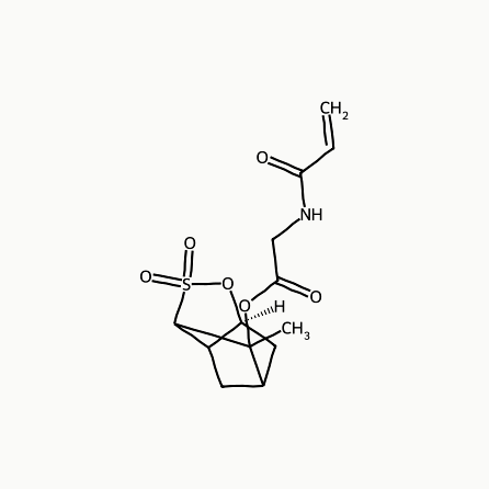 C=CC(=O)NCC(=O)OC1(C)C2CC3C1S(=O)(=O)O[C@H]3C2